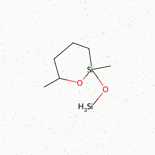 CC1CCC[Si](C)(O[SiH3])O1